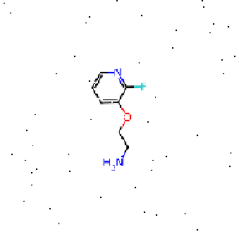 NCCOc1cccnc1F